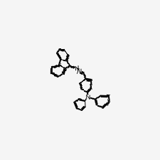 C(=NN=C1c2ccccc2-c2ccccc21)c1ccc(N(c2ccccc2)c2ccccc2)cc1